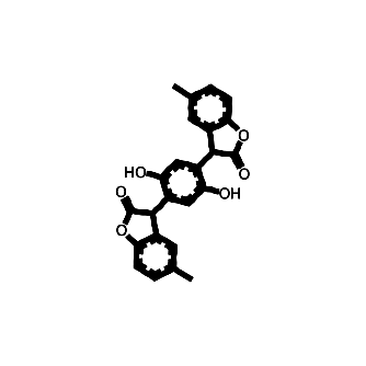 Cc1ccc2c(c1)C(c1cc(O)c(C3C(=O)Oc4ccc(C)cc43)cc1O)C(=O)O2